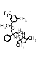 C=C[C@@]1(CN[C@](C=C)(CO[C@H](C)c2cc(C(F)(F)F)cc(C(F)(F)F)c2)c2ccccc2)CCC(=C)N1